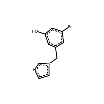 Oc1cc(Br)cc(Cn2ccnc2)c1